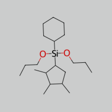 CCCO[Si](OCCC)(C1CCCCC1)C1CC(C)C(C)C1C